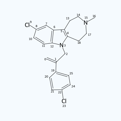 C=C(Cn1c2c(c3cc(Cl)ccc31)CCN(C)CC2)c1ccc(Cl)cc1